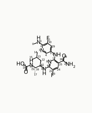 CNc1ncc(Nc2nc(N[C@H](CC(C)C)[C@H](C)NC(=O)O)c(F)cc2C(N)=O)cc1F